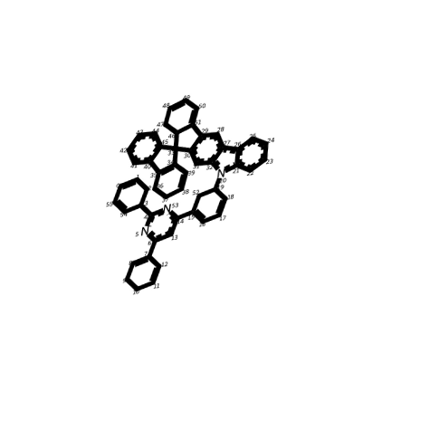 C1=CCC(c2nc(C3=CCCC=C3)cc(C3=CC=CC(n4c5ccccc5c5cc6c(cc54)C4(C5=C(CCC=C5)c5ccccc54)C4CC=CC=C64)C3)n2)C=C1